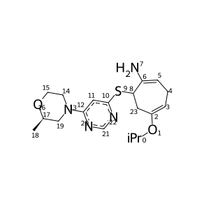 CC(C)OC1=CCC=C(N)C(Sc2cc(N3CCO[C@H](C)C3)ncn2)C1